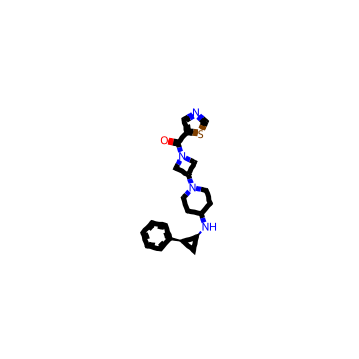 O=C(c1cncs1)N1C[C](N2CCC(N[C@@H]3C[C@H]3c3ccccc3)CC2)C1